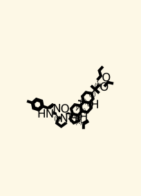 C=C(C)[C@@H]1CC[C@]2(C(=O)N3CCC[C@H]3c3ncc(-c4ccc(C)cc4)[nH]3)CC[C@]3(C)[C@H](CC[C@@H]4C[C@H](C(C)(C)[C@H](CCCC)OC(C)=O)CC[C@]43C)[C@@H]12